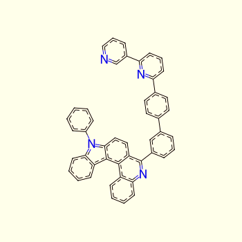 c1ccc(-n2c3ccccc3c3c4c(ccc32)c(-c2cccc(-c3ccc(-c5cccc(-c6cccnc6)n5)cc3)c2)nc2ccccc24)cc1